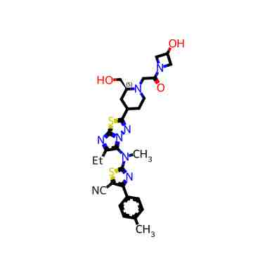 CCc1nc2sc(C3CCN(CC(=O)N4CC(O)C4)[C@H](CO)C3)nn2c1N(C)c1nc(-c2ccc(C)cc2)c(C#N)s1